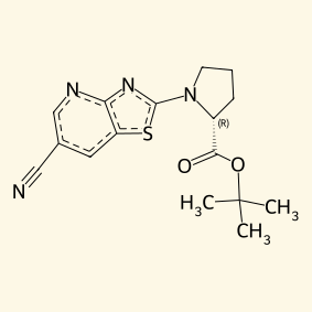 CC(C)(C)OC(=O)[C@H]1CCCN1c1nc2ncc(C#N)cc2s1